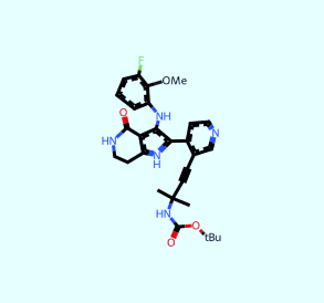 COc1c(F)cccc1Nc1c(-c2ccncc2C#CC(C)(C)NC(=O)OC(C)(C)C)[nH]c2c1C(=O)NCC2